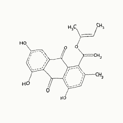 C=C(OC(C)=CC)c1c(C)cc(O)c2c1C(=O)c1cc(O)cc(O)c1C2=O